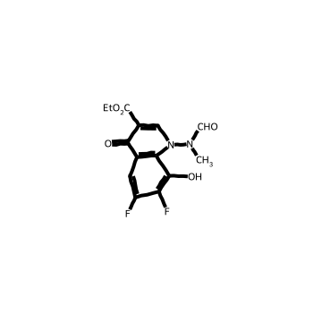 CCOC(=O)c1cn(N(C)C=O)c2c(O)c(F)c(F)cc2c1=O